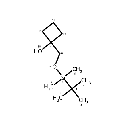 CC(C)(C)[Si](C)(C)OCC1(O)CCC1